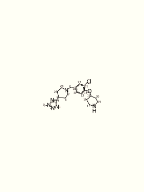 Cn1nnc(C2CCN(Cc3ccc(OC4CCNCC4)c(Cl)c3)CC2)n1